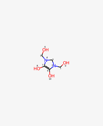 OCN1CN(CO)C(O)=C1O